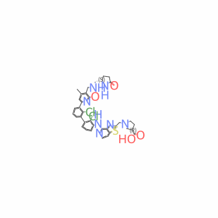 COc1nc(-c2cccc(-c3cccc(Nc4nccc5sc(CN6CC[C@@H](C(=O)O)C6)nc45)c3Cl)c2Cl)cc(C)c1CNC[C@@H]1CCC(=O)N1